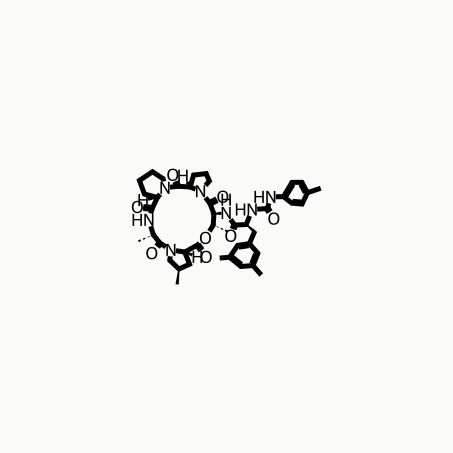 Cc1ccc(NC(=O)N[C@@H](Cc2cc(C)cc(C)c2)C(=O)N[C@@H]2C(=O)N3CCC[C@H]3C(=O)N3CCCC[C@H]3C(=O)N[C@@H](C)C(=O)N3C[C@H](C)C[C@H]3C(=O)O[C@H]2C)cc1